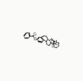 CC12CCC3c4ccc(OC(=O)c5ccccc5)cc4CCC3C1CCC21OCCO1